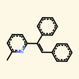 Cc1cccc(C(=Cc2ccccc2)c2ccccc2)n1